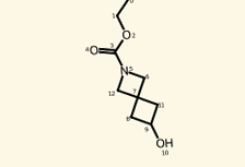 CCOC(=O)N1CC2(CC(O)C2)C1